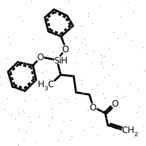 C=CC(=O)OCCCC(C)[SiH](Oc1ccccc1)Oc1ccccc1